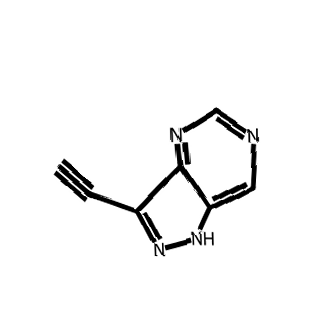 C#Cc1n[nH]c2cncnc12